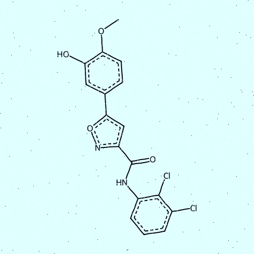 COc1ccc(-c2cc(C(=O)Nc3cccc(Cl)c3Cl)no2)cc1O